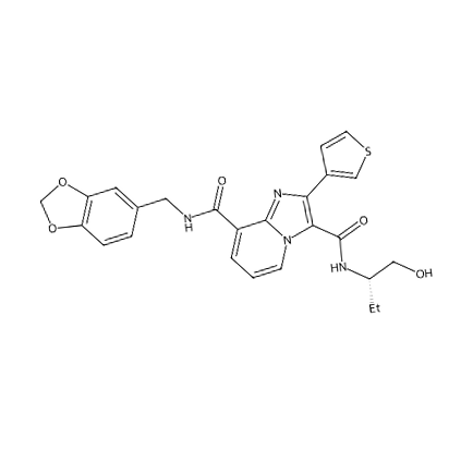 CC[C@@H](CO)NC(=O)c1c(-c2ccsc2)nc2c(C(=O)NCc3ccc4c(c3)OCO4)cccn12